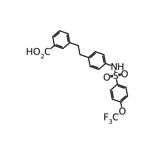 O=C(O)c1cccc(CCc2ccc(NS(=O)(=O)c3ccc(OC(F)(F)F)cc3)cc2)c1